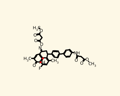 COC(=O)CC(=O)Nc1ccc(-c2ccc(C(C/C(=N\OC(=O)CC(=O)OC)c3c[nH]c(=O)c(C)c3)c3ccc(F)cc3C)cc2)cc1